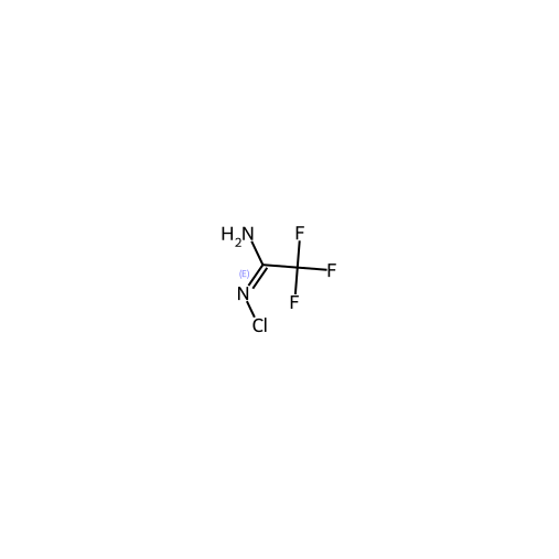 N/C(=N/Cl)C(F)(F)F